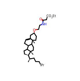 CCOC(=O)CC(=O)NCCO[C@H]1CC[C@@]2(C)C(=CCC3C2CC[C@@]2(C)C3CC[C@@H]2[C@H](C)CCCC(C)C)C1